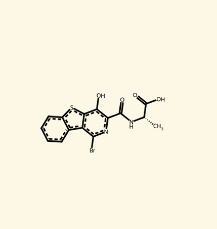 C[C@H](NC(=O)c1nc(Br)c2c(sc3ccccc32)c1O)C(=O)O